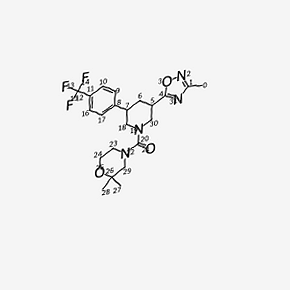 Cc1noc(C2CC(c3ccc(C(F)(F)F)cc3)CN(C(=O)N3CCOC(C)(C)C3)C2)n1